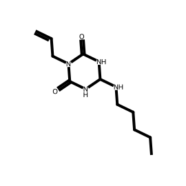 C=CCN1C(=O)NC(NCCCCC)NC1=O